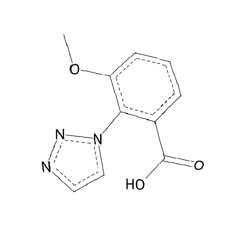 COc1cccc(C(=O)O)c1-n1ccnn1